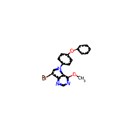 COc1ncnc2c(Br)cn(-c3ccc(Oc4ccccc4)cc3)c12